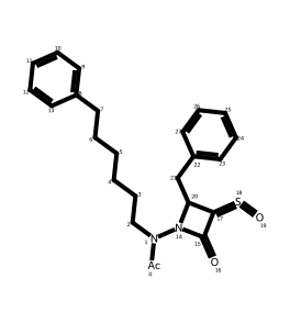 CC(=O)N(CCCCCCc1ccccc1)N1C(=O)C(=S=O)C1Cc1ccccc1